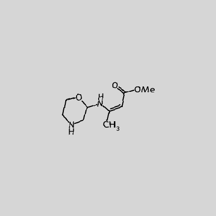 COC(=O)/C=C(/C)NC1CNCCO1